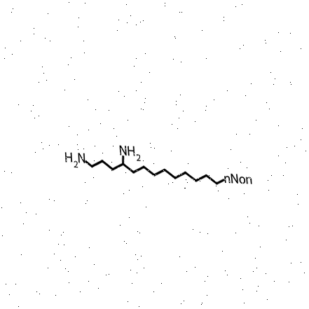 CCCCCCCCCCCCCCCCCCC(N)CCCN